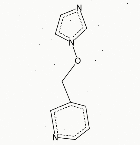 c1cncc(COn2ccnc2)c1